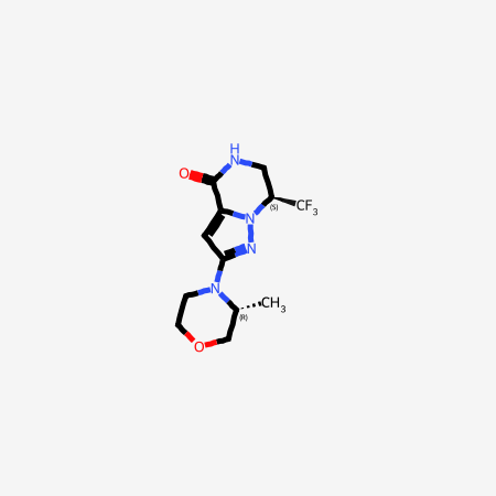 C[C@@H]1COCCN1c1cc2n(n1)[C@H](C(F)(F)F)CNC2=O